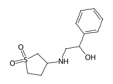 O=S1(=O)CCC(NCC(O)c2ccccc2)C1